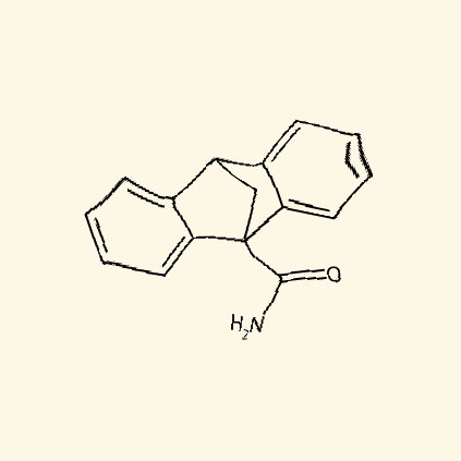 NC(=O)C12CC(c3ccccc31)c1ccccc12